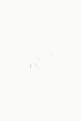 CN(C)CCN(N)c1cc(O)on1